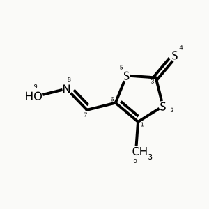 Cc1sc(=S)sc1C=NO